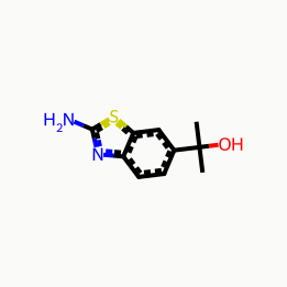 CC(C)(O)c1ccc2nc(N)sc2c1